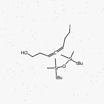 CC(C)(C)[Si](C)(C)O[Si](C)(C)C(C)(C)C.OCCC=C=CCCI